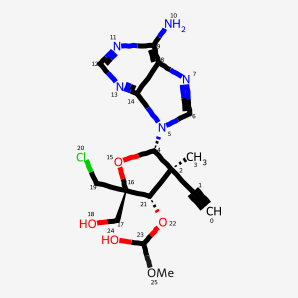 C#C[C@]1(C)[C@@H](n2cnc3c(N)ncnc32)O[C@@](CO)(CCl)[C@H]1OC(O)OC